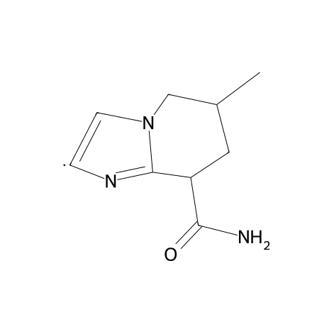 CC1CC(C(N)=O)c2n[c]cn2C1